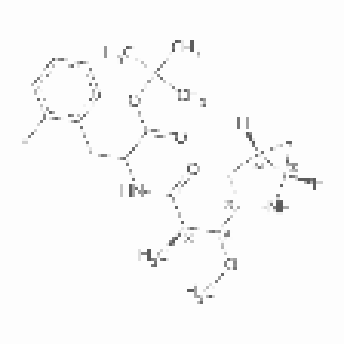 CO[C@@H]([C@@H]1C[C@@H]2C[C@@H]2N1)[C@@H](C)C(=O)NC(Cc1ccccc1F)C(=O)OC(C)(C)C